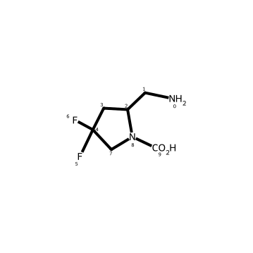 NCC1CC(F)(F)CN1C(=O)O